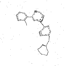 Cc1ccccc1-c1cc(-c2ccc(CC3CCCCC3)cc2)ccn1